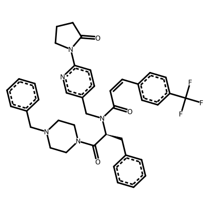 O=C([C@H](Cc1ccccc1)N(Cc1ccc(N2CCCC2=O)nc1)C(=O)C=Cc1ccc(C(F)(F)F)cc1)N1CCN(Cc2ccccc2)CC1